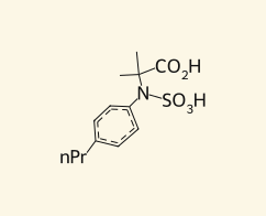 CCCc1ccc(N(C(C)(C)C(=O)O)S(=O)(=O)O)cc1